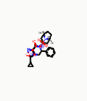 O=C(N[C@H]1C[C@H]2CC[C@@H](C1)N2S(=O)(=O)N1CCNCC1c1ccccc1)c1cc(C2CC2)on1